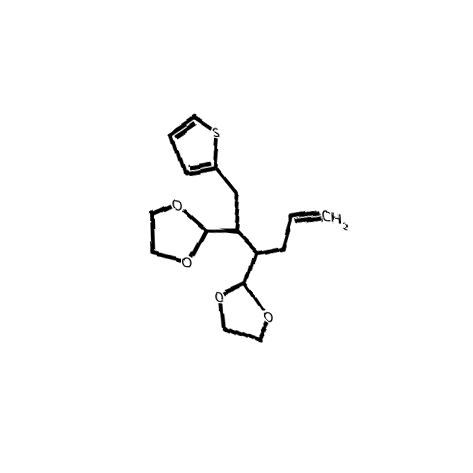 C=CCC(C1OCCO1)C(Cc1cccs1)C1OCCO1